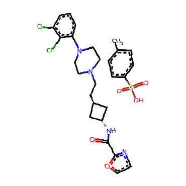 Cc1ccc(S(=O)(=O)O)cc1.O=C(N[C@H]1C[C@H](CCN2CCN(c3cccc(Cl)c3Cl)CC2)C1)c1ncco1